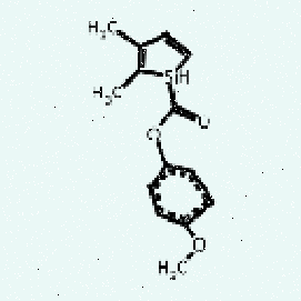 COc1ccc(OC(=O)[SiH]2C=CC(C)=C2C)cc1